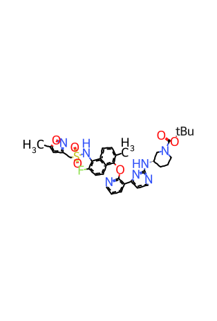 Cc1cc(CS(=O)(=O)Nc2c(F)ccc3c(Oc4ncccc4-c4ccnc(N[C@H]5CCCN(C(=O)OC(C)(C)C)C5)n4)c(C)ccc23)no1